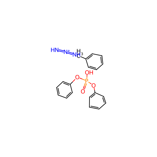 Cc1ccccc1.N=[N+]=N.O=P(O)(Oc1ccccc1)Oc1ccccc1